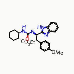 CCOC(=O)[C@@H]1CCCC[C@H]1NC(=O)/N=C(\Cc1ccc(OC)cc1)c1nc2ccccc2[nH]1